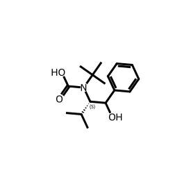 CC(C)[C@@H](C(O)c1ccccc1)N(C(=O)O)C(C)(C)C